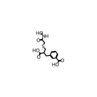 O=C(CSCC(Cc1cccc(C(=O)O)c1)C(=O)O)NO